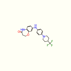 O=C1CCOc2cc(Nc3ccc(N4CCC(C(F)(F)F)CC4)cc3)ccc2N1